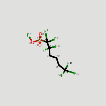 O=S(=O)(OF)C(F)(F)C(F)(F)CCCC(F)(F)F